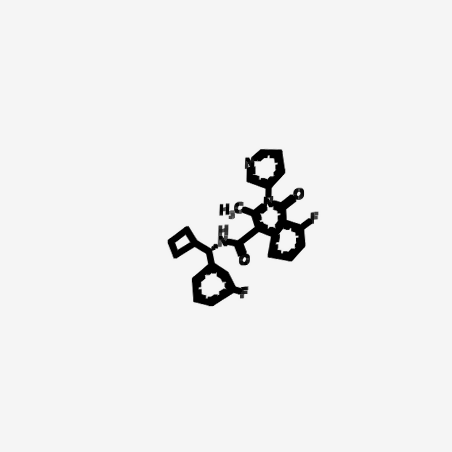 Cc1c(C(=O)N[C@H](c2cccc(F)c2)C2CCC2)c2cccc(F)c2c(=O)n1-c1cccnc1